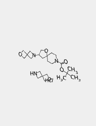 C1NCC12COC2.CC(C)(C)OC(=O)N1CCC2(CC1)CC(N1CC3(COC3)C1)CO2.Cl